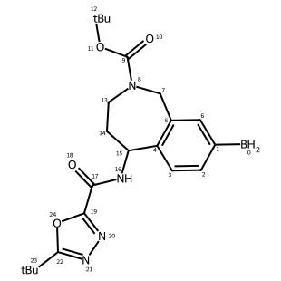 Bc1ccc2c(c1)CN(C(=O)OC(C)(C)C)CCC2NC(=O)c1nnc(C(C)(C)C)o1